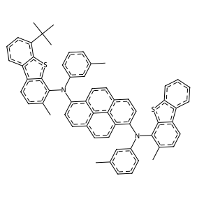 Cc1cccc(N(c2ccc3ccc4c(N(c5cccc(C)c5)c5c(C)ccc6c5sc5c(C(C)(C)C)cccc56)ccc5ccc2c3c54)c2c(C)ccc3c2sc2ccccc23)c1